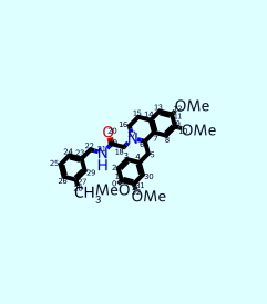 COc1ccc(CC2c3cc(OC)c(OC)cc3CCN2CC(=O)NCc2cccc(C)c2)cc1OC